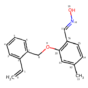 C=Cc1ccccc1COc1cc(C)ccc1/C=N/O